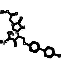 COC(=O)C[C@@H]1C[C@@H](C(COc2ccc(-c3ccc(C#N)cc3)cc2)C(=O)N(C)C)NC1=O